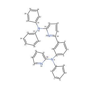 c1ccc(N(c2cccc(-c3cccc(N(c4ccccc4)c4ccccc4)n3)c2)c2ccccn2)cc1